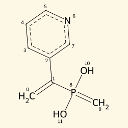 C=C(c1cccnc1)P(=C)(O)O